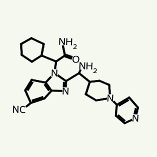 N#Cc1ccc2c(c1)nc(C(N)C1CCN(c3ccncc3)CC1)n2C(C(N)=O)C1CCCCC1